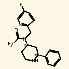 O=C(N(Cc1ccc(F)cn1)[C@@H]1CCN[C@H](c2ccccc2)C1)C(F)(F)F